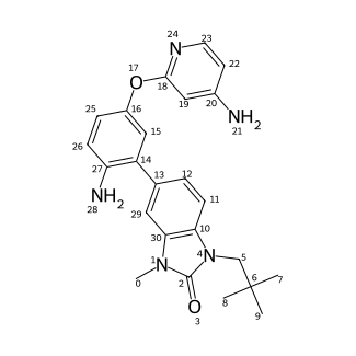 Cn1c(=O)n(CC(C)(C)C)c2ccc(-c3cc(Oc4cc(N)ccn4)ccc3N)cc21